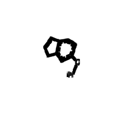 CC(C)Oc1ccc2c(c1)CC=C2